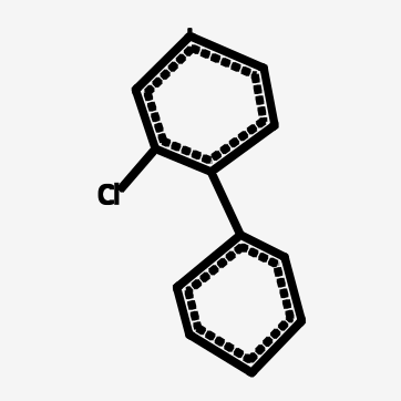 Clc1c[c]ccc1-c1ccccc1